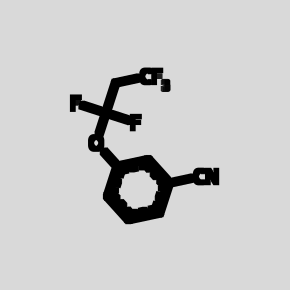 N#Cc1cccc(OC(F)(F)CC(F)(F)F)c1